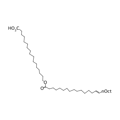 CCCCCCCCC=CCCCCCCCCCCCCCC(=O)OCCCCCCCCCCCCCCCCC(=O)O